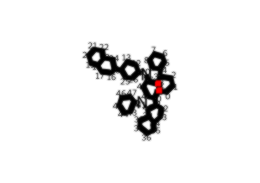 c1ccc(-c2ccccc2N(c2ccc(-c3ccc4ccccc4c3)cc2)c2ccc3c4ccc5ccccc5c4n(-c4ccccc4)c3c2)cc1